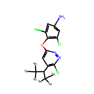 [2H]C([2H])([2H])C(c1cc(Oc2c(Cl)cc(N)cc2Cl)nnc1Cl)C([2H])([2H])[2H]